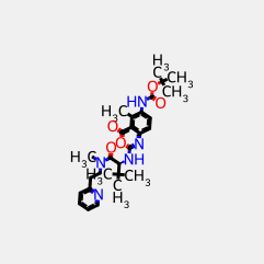 Cc1c(NC(=O)OC(C)(C)C)ccc2nc(N[C@H](C(=O)N(C)CCc3ccccn3)C(C)(C)C)oc(=O)c12